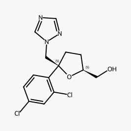 OC[C@@H]1CC[C@@](Cn2cncn2)(c2ccc(Cl)cc2Cl)O1